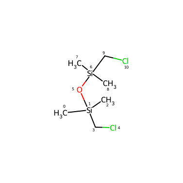 C[Si](C)(CCl)O[Si](C)(C)CCl